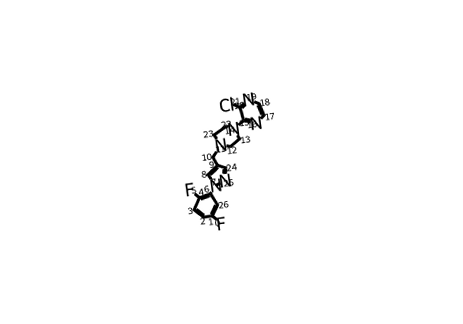 Fc1ccc(F)c(-n2cc(CN3CCN(c4nccnc4Cl)CC3)cn2)c1